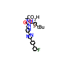 C[C@@H](NC(=O)[C@H](Cc1ccc(-c2ncc(-c3ccc(-c4cccc(F)c4)cc3)cn2)cc1)NC(=O)c1ccc(C(C)(C)C)s1)C(=O)O